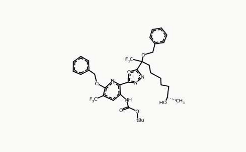 C[C@H](O)CCCCCC(OCc1ccccc1)(c1nnc(-c2nc(OCc3ccccc3)c(C(F)(F)F)cc2NC(=O)OC(C)(C)C)o1)C(F)(F)F